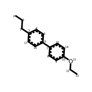 CCCc1ccc(-c2ccc(OCC)cc2)cc1